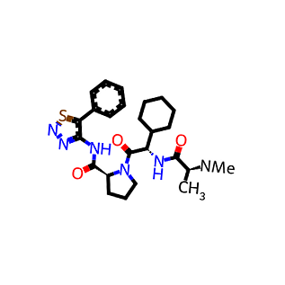 CN[C@@H](C)C(=O)N[C@H](C(=O)N1CCC[C@H]1C(=O)Nc1nnsc1-c1ccccc1)C1CCCCC1